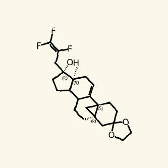 C[C@]12CC=C3C(CC[C@@]45CC6(CC[C@@]34C5)OCCO6)C1CC[C@@]2(O)CC(F)=C(F)F